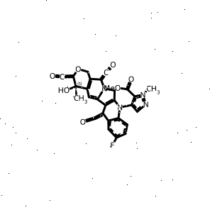 COC(=O)c1c(N2C3=C(C(=C=O)c4cc(F)ccc42)C2=CC4=C(COC(=C=O)[C@@]4(C)O)C(=C=O)N2C3)cnn1C